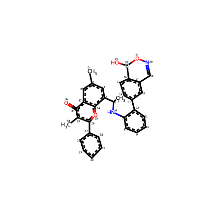 Cc1cc(C(C)Nc2ccccc2-c2ccc3c(c2)C=NOB3O)c2oc(-c3ccccc3)c(C)c(=O)c2c1